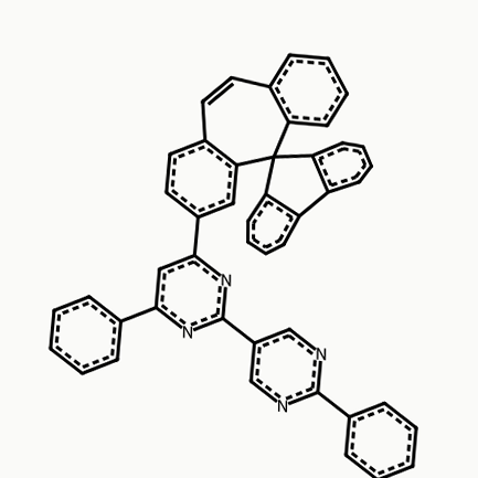 C1=Cc2ccc(-c3cc(-c4ccccc4)nc(-c4cnc(-c5ccccc5)nc4)n3)cc2C2(c3ccccc31)c1ccccc1-c1ccccc12